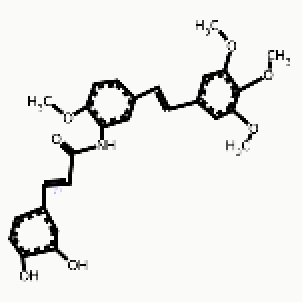 COc1ccc(C=Cc2cc(OC)c(OC)c(OC)c2)cc1NC(=O)/C=C/c1ccc(O)c(O)c1